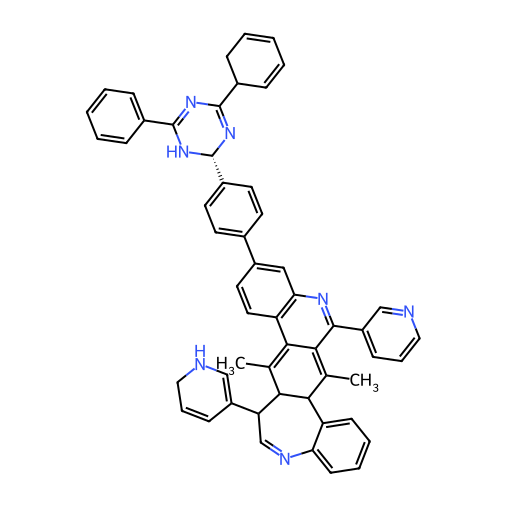 CC1=c2c(-c3cccnc3)nc3cc(-c4ccc([C@H]5N=C(C6C=CC=CC6)N=C(c6ccccc6)N5)cc4)ccc3c2=C(C)C2C(C3=CNCC=C3)C=Nc3ccccc3C12